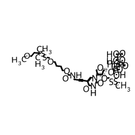 COCCC(C)(C)SSCOCCCCOC(=O)NCC#Cc1cn([C@@H]2CO[C@H](COP(=O)(O)OP(=O)(O)OP(=O)(O)O)[C@H]2OCSSC)c(=O)[nH]c1=O